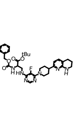 CC(C)(C)OC(=O)C(CNc1ncnc(N2CCC(c3ccc4c(n3)NCCC4)CC2)c1F)NC(=O)OCc1ccccc1